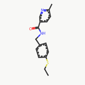 CCSc1ccc(CNC(=O)c2ccc(C)nc2)cc1